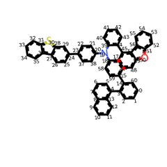 c1ccc(-c2cccc3ccccc23)c(-c2ccc(N(c3ccc(-c4ccc5c(c4)sc4ccccc45)cc3)c3ccccc3-c3cccc4oc5ccccc5c34)cc2)c1